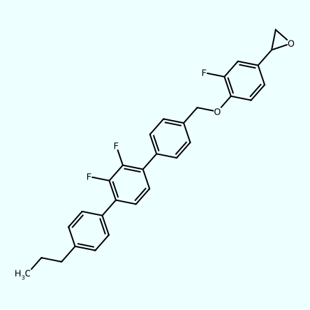 CCCc1ccc(-c2ccc(-c3ccc(COc4ccc(C5CO5)cc4F)cc3)c(F)c2F)cc1